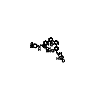 COc1cc(-c2nccc(-c3cccc(-c4ccc5c(CNC6CCS(=O)(=O)CC6)cn(C)c5n4)c3Cl)c2Cl)ccc1CNC[C@H]1CCC(=O)N1